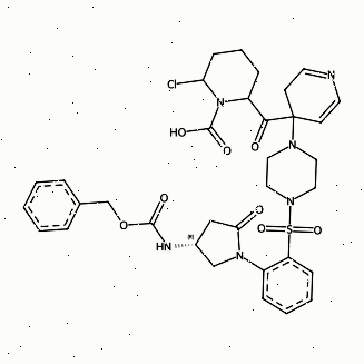 O=C(N[C@@H]1CC(=O)N(c2ccccc2S(=O)(=O)N2CCN(C3(C(=O)C4CCCC(Cl)N4C(=O)O)C=CN=CC3)CC2)C1)OCc1ccccc1